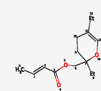 C/C=C/C(=O)OCC1(CC)CCC(CC)=CO1